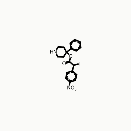 O=C(OC1(c2ccccc2)CCNCC1)C(I)c1ccc([N+](=O)[O-])cc1